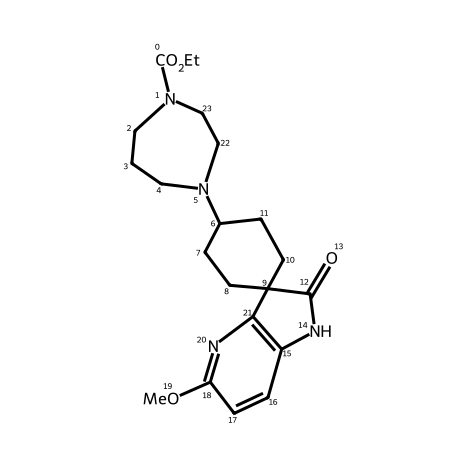 CCOC(=O)N1CCCN(C2CCC3(CC2)C(=O)Nc2ccc(OC)nc23)CC1